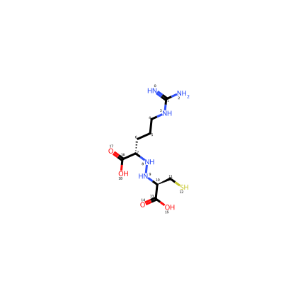 N=C(N)NCCC[C@H](NN[C@@H](CS)C(=O)O)C(=O)O